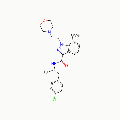 COc1cccc2c(C(=O)NC(C)Cc3ccc(Cl)cc3)nn(CCN3CCOCC3)c12